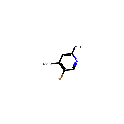 COc1cc(C)ncc1Br